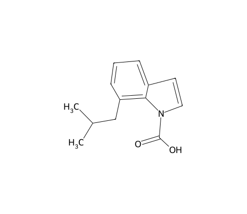 CC(C)Cc1cccc2ccn(C(=O)O)c12